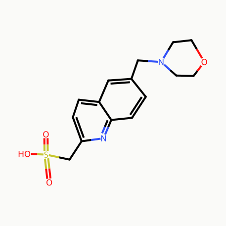 O=S(=O)(O)Cc1ccc2cc(CN3CCOCC3)ccc2n1